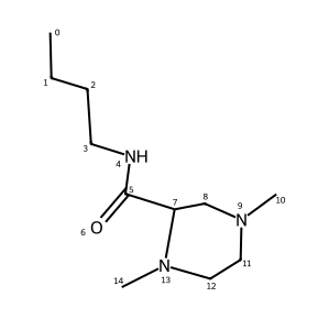 CCCCNC(=O)C1CN(C)CCN1C